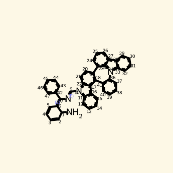 NC1C=CC=C/C1=C(/N=C/n1c2ccccc2c2c3c(ccc21)-c1cccc2c4ccccc4n(c12)-c1ccccc1-3)c1ccccc1